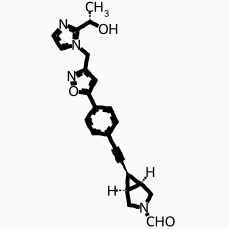 C[C@H](O)c1nccn1Cc1cc(-c2ccc(C#C[C@H]3[C@H]4CN(C=O)C[C@@H]34)cc2)on1